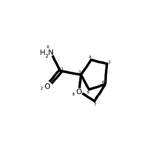 NC(=O)C12CCC(CO1)C2